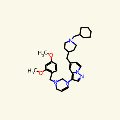 COc1ccc(CN2CC=CN(c3cnn4ccc(CC5CCN(CC6CCCCC6)CC5)cc34)C2)c(OC)c1